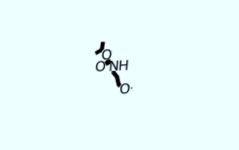 CC(C)OC(=O)NCCC[O]